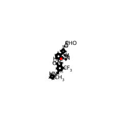 Cn1cnnc1[C@]1(c2cccc(N3Cc4c(cc(CNC5(C)CCC5)cc4C(F)(F)F)C3=O)c2)C[C@H](COC=O)C1